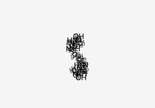 Cc1cc(-c2cnc(C3CCCN3C(=O)C(NC(=O)O)c3ccccc3)[nH]2)ccc1-c1cc(C)c(-c2cnc([C@@H]3CCCN3C(=O)[C@H](NC(=O)O)c3ccccc3)[nH]2)c(C)c1C